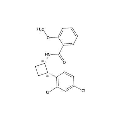 COc1ccccc1C(=O)N[C@H]1CC[C@H]1c1ccc(Cl)cc1Cl